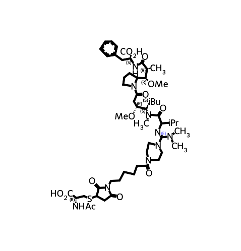 CC[C@H](C)[C@@H]([C@@H](CC(=O)N1CCCC1[C@H](OC)[C@@H](C)C(=O)N[C@@H](Cc1ccccc1)C(=O)O)OC)N(C)C(=O)C(/N=C(\N(C)C)N1CCN(C(=O)CCCCCN2C(=O)CC(SC[C@H](NC(C)=O)C(=O)O)C2=O)CC1)C(C)C